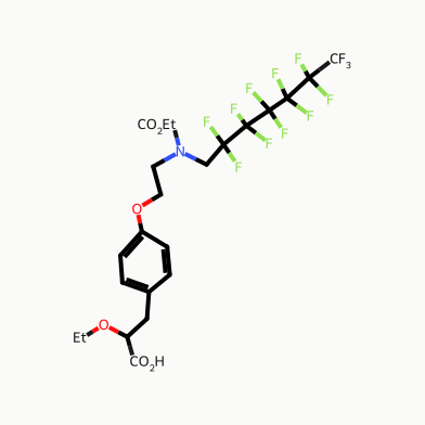 CCOC(=O)N(CCOc1ccc(CC(OCC)C(=O)O)cc1)CC(F)(F)C(F)(F)C(F)(F)C(F)(F)C(F)(F)C(F)(F)F